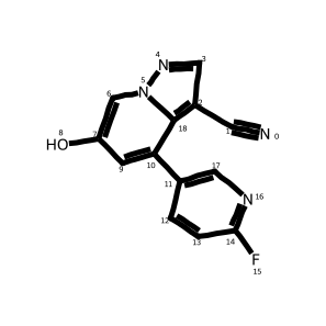 N#Cc1cnn2cc(O)cc(-c3ccc(F)nc3)c12